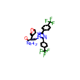 NC(=O)/C(=C/n1nc(-c2ccc(C(F)(F)F)cc2)nc1-c1ccc(C(F)(F)F)cc1)c1ccoc1